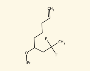 C=CCCCC(CC(C)(F)F)OC(C)C